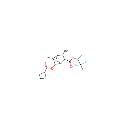 CC(=O)C1C2CC(C(OC(=O)C3CCC3)C2C)C1C(=O)OC(C)C(C)(F)F